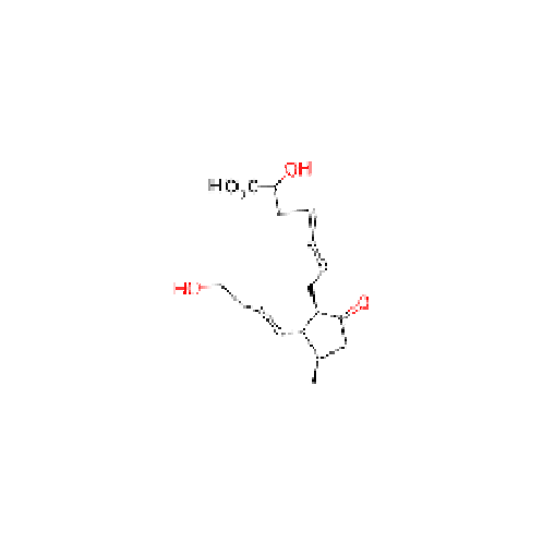 C[C@@H]1CC(=O)[C@H](CC=C=CCC(O)C(=O)O)[C@H]1/C=C/CCO